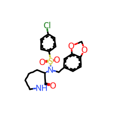 O=C1NCCCC[C@H]1N(Cc1ccc2c(c1)OCO2)S(=O)(=O)c1ccc(Cl)cc1